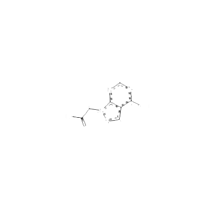 O=C(O)Cn1ncc2c(O)ncnc21